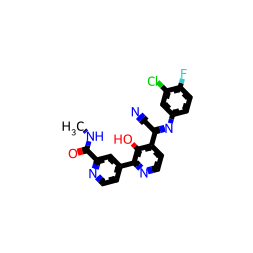 CNC(=O)c1cc(-c2nccc(/C(C#N)=N/c3ccc(F)c(Cl)c3)c2O)ccn1